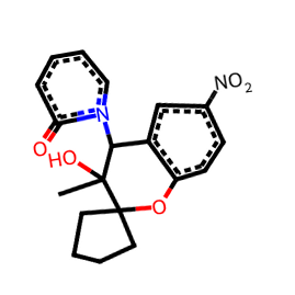 CC1(O)C(n2ccccc2=O)c2cc([N+](=O)[O-])ccc2OC12CCCC2